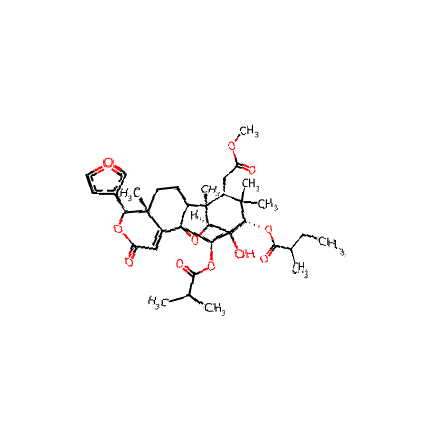 CCC(C)C(=O)O[C@H]1C(C)(C)[C@H](CC(=O)OC)[C@@]2(C)C3CC[C@]4(C)C(=CC(=O)O[C@H]4c4ccoc4)C34O[C@@H]2C1(O)[C@H]4OC(=O)C(C)C